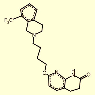 O=C1CCc2ccc(OCCCCN3CCc4cccc(C(F)(F)F)c4C3)nc2N1